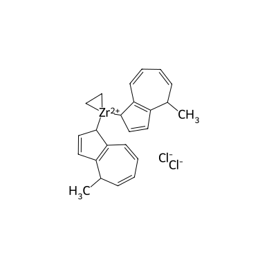 CC1C=CC=CC2=C1C=C[CH]2[Zr+2]1([CH]2C=CC3=C2C=CC=CC3C)[CH2][CH2]1.[Cl-].[Cl-]